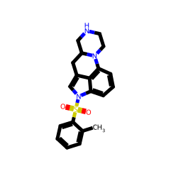 Cc1ccccc1S(=O)(=O)n1cc2c3c(cccc31)N1CCNCC1C2